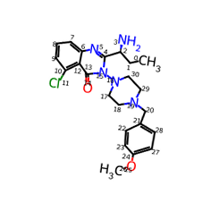 CC[C@H](N)c1nc2cccc(Cl)c2c(=O)n1N1CCN(Cc2ccc(OC)cc2)CC1